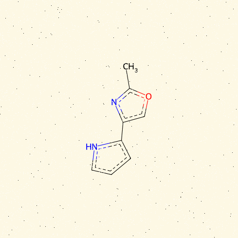 Cc1nc(-c2ccc[nH]2)co1